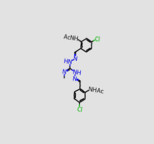 CN=C(N/N=C/c1ccc(Cl)cc1NC(C)=O)N/N=C/c1ccc(Cl)cc1NC(C)=O